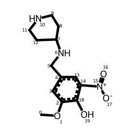 COc1cc(CNC2CCNCC2)cc([N+](=O)[O-])c1O